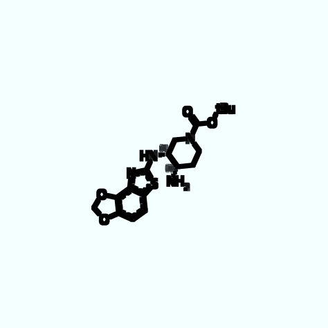 CC(C)(C)OC(=O)N1CC[C@H](N)[C@H](Nc2nc3c4c(ccc3s2)OCO4)C1